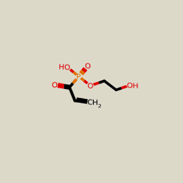 C=CC(=O)P(=O)(O)OCCO